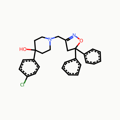 OC1(c2ccc(Cl)cc2)CCN(CC2=NOC(c3ccccc3)(c3ccccc3)C2)CC1